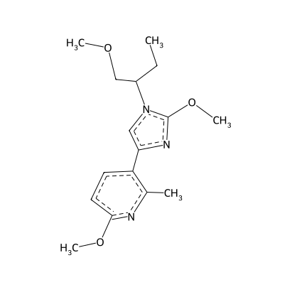 CCC(COC)n1cc(-c2ccc(OC)nc2C)nc1OC